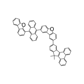 CC1(C)c2ccc(-c3ccc4oc5ccc(-c6c7ccccc7c(-c7cccc8c7oc7ccccc78)c7ccccc67)cc5c4c3)cc2-c2c1c1ccccc1c1ccccc21